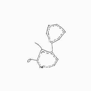 Cc1c(-c2ccccc2)ccnc1Cl